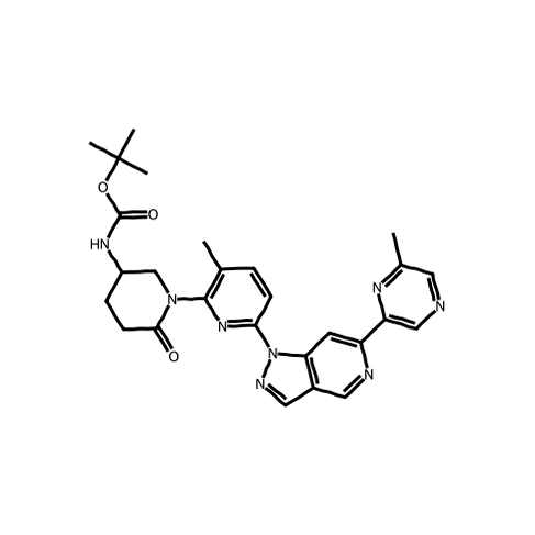 Cc1cncc(-c2cc3c(cn2)cnn3-c2ccc(C)c(N3CC(NC(=O)OC(C)(C)C)CCC3=O)n2)n1